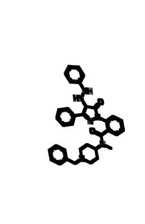 CN(C(=O)c1ccccc1N1N=C(c2ccccc2)C(NNc2ccccc2)C1=O)C1CCN(Cc2ccccc2)CC1